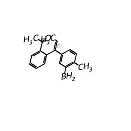 Bc1cc(/C(=C/C)c2ccccc2C(C)=O)ccc1C